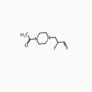 CC(=O)N1CCN(CC(I)C=S)CC1